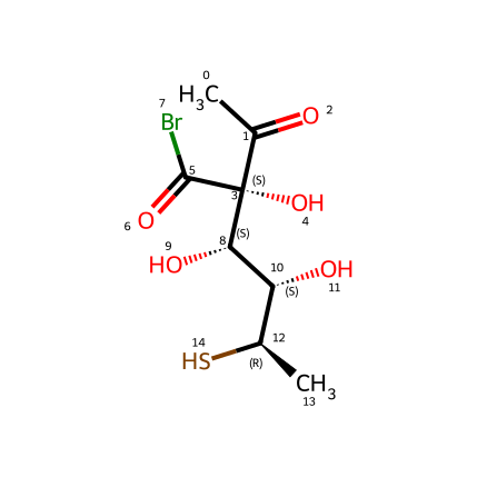 CC(=O)[C@](O)(C(=O)Br)[C@@H](O)[C@H](O)[C@@H](C)S